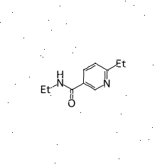 CCNC(=O)c1ccc(CC)nc1